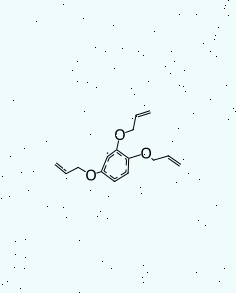 C=CCOc1[c]c(OCC=C)c(OCC=C)cc1